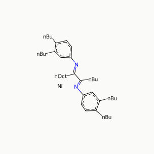 CCCCCCCCC(=N\c1ccc(CCCC)c(CCCC)c1)/C(CCCC)=N/c1ccc(CCCC)c(CCCC)c1.[Ni]